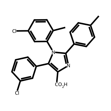 Cc1ccc(-c2nc(C(=O)O)c(-c3cccc(Cl)c3)n2-c2cc(Cl)ccc2C)cc1